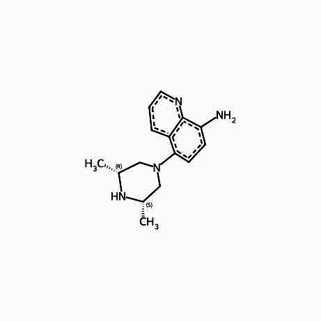 C[C@@H]1CN(c2ccc(N)c3ncccc23)C[C@H](C)N1